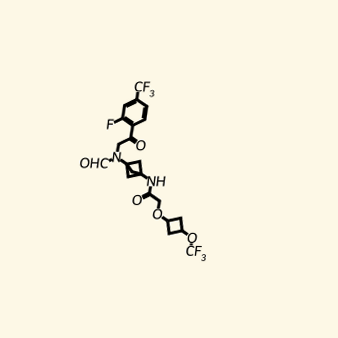 O=CN(CC(=O)c1ccc(C(F)(F)F)cc1F)C12CC(NC(=O)COC3CC(OC(F)(F)F)C3)(C1)C2